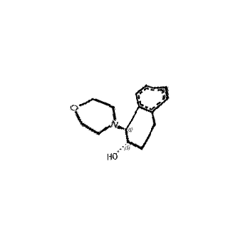 O[C@H]1CCc2ccccc2[C@@H]1N1CCOCC1